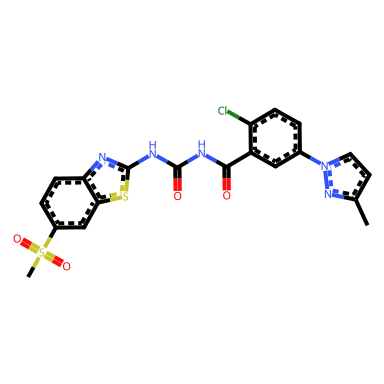 Cc1ccn(-c2ccc(Cl)c(C(=O)NC(=O)Nc3nc4ccc(S(C)(=O)=O)cc4s3)c2)n1